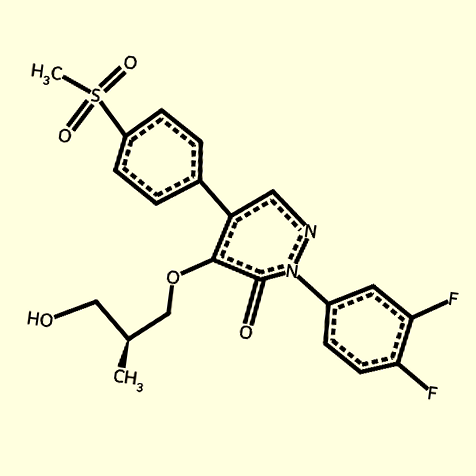 C[C@@H](CO)COc1c(-c2ccc(S(C)(=O)=O)cc2)cnn(-c2ccc(F)c(F)c2)c1=O